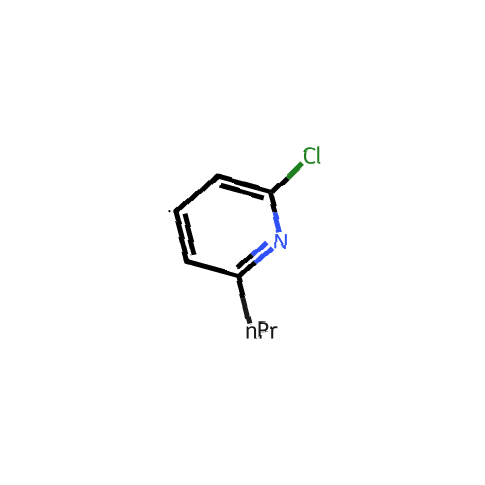 CCCc1c[c]cc(Cl)n1